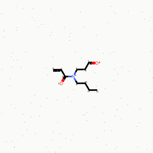 C=CC(=O)N(CCC=O)CCCC